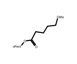 CCCCCOC(=O)CCCCOC